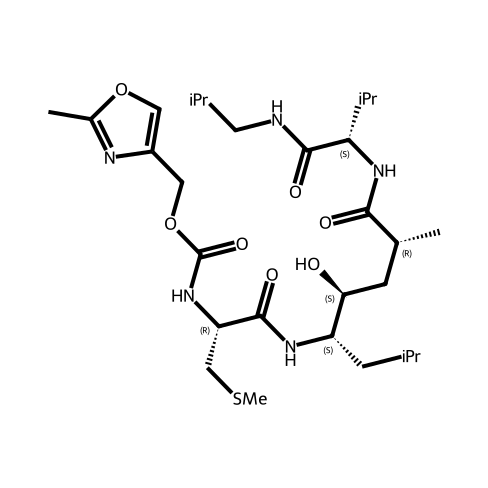 CSC[C@H](NC(=O)OCc1coc(C)n1)C(=O)N[C@@H](CC(C)C)[C@@H](O)C[C@@H](C)C(=O)N[C@H](C(=O)NCC(C)C)C(C)C